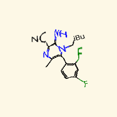 CCC(C)Cn1c(-c2ccc(F)cc2F)c(C)nc(C#N)c1=N